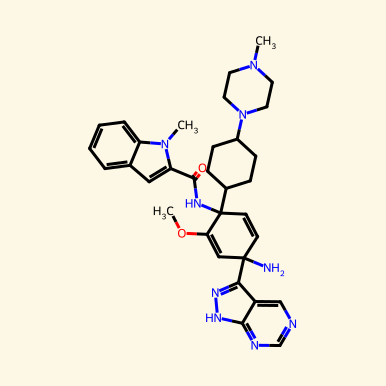 COC1=CC(N)(c2n[nH]c3ncncc23)C=CC1(NC(=O)c1cc2ccccc2n1C)C1CCC(N2CCN(C)CC2)CC1